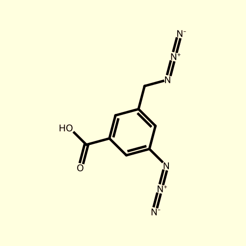 [N-]=[N+]=NCc1cc(N=[N+]=[N-])cc(C(=O)O)c1